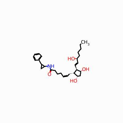 CCCCC[C@H](O)/C=C/[C@@H]1[C@@H](C/C=C\CCCC(=O)NC2CC2c2ccccc2)[C@@H](O)C[C@H]1O